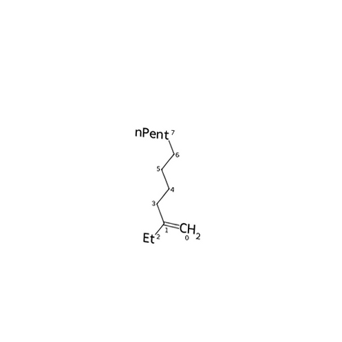 C=C(CC)CCCCCCCCC